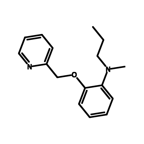 CCCN(C)c1ccccc1OCc1ccccn1